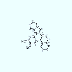 N#Cc1cc2c3c4ccccc4ccc3c3cc4ccccc4n3c2cc1C#N